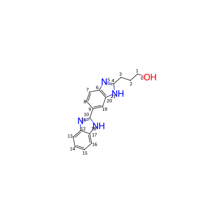 OCCCc1nc2ccc(-c3nc4ccccc4[nH]3)cc2[nH]1